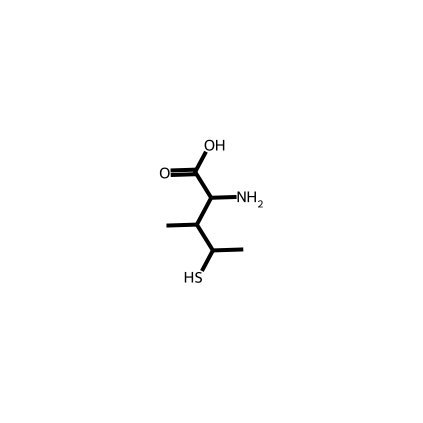 CC(S)C(C)C(N)C(=O)O